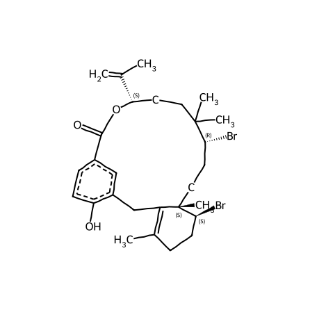 C=C(C)[C@@H]1CCC(C)(C)[C@H](Br)CC[C@@]2(C)C(=C(C)CC[C@@H]2Br)Cc2cc(ccc2O)C(=O)O1